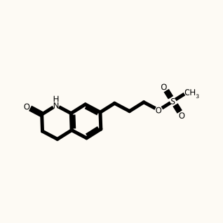 CS(=O)(=O)OCCCc1ccc2c(c1)NC(=O)CC2